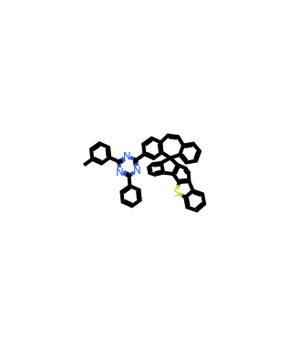 Cc1cccc(-c2nc(-c3ccccc3)nc(-c3ccc4c(c3)C3(c5ccccc5C=C4)c4ccccc4-c4c3ccc3c4sc4ccccc43)n2)c1